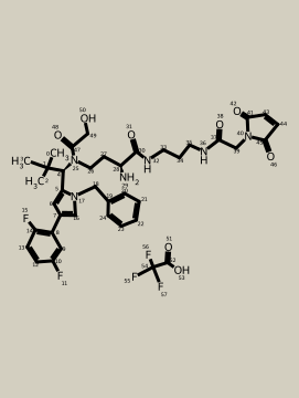 CC(C)(C)[C@H](c1cc(-c2cc(F)ccc2F)cn1Cc1ccccc1)N(CC[C@H](N)C(=O)NCCCNC(=O)CN1C(=O)C=CC1=O)C(=O)CO.O=C(O)C(F)(F)F